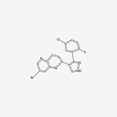 Fc1ccc(Cl)cc1-c1n[nH]cc1-c1ccc2ncc(Br)cc2n1